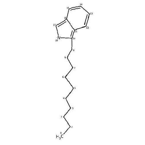 CCCCCCCCCCC1=c2ccccc2=C[N]1